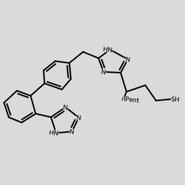 CCCCCC(CCS)c1n[nH]c(Cc2ccc(-c3ccccc3-c3nnn[nH]3)cc2)n1